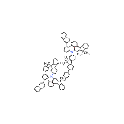 CC1(C)C2=C(CCC(N(c3ccc4c(c3)C(C)(C)c3ccccc3-4)c3cccc(-c4ccc5ccccc5c4)c3-c3ccccc3)=C2)c2ccc(-c3ccc(CC4(C)c5ccccc5-c5ccc(N(c6ccc7c(c6)C(C)(c6ccccc6)c6ccccc6-7)c6cccc(-c7ccc8ccccc8c7)c6-c6ccccc6)cc54)cc3)cc21